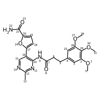 COc1cc(CCC(=O)Nc2nc(C)ncc2-c2ccc(C(N)=O)o2)cc(OC)c1OC